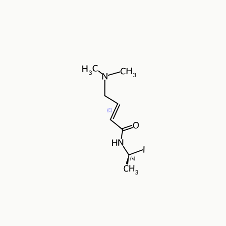 C[C@H](I)NC(=O)/C=C/CN(C)C